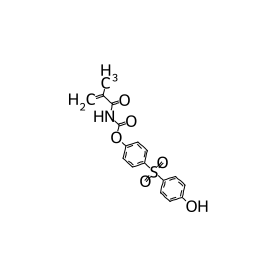 C=C(C)C(=O)NC(=O)Oc1ccc(S(=O)(=O)c2ccc(O)cc2)cc1